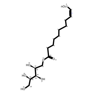 CCCCCCCC/C=C\CCCCCCCC(=O)OC[C@H](O)[C@@H](O)[C@H](O)CO